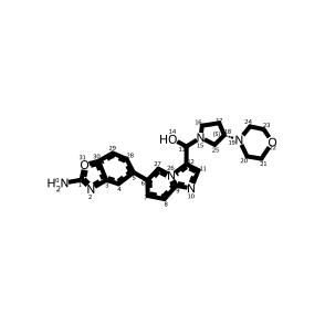 Nc1nc2cc(-c3ccc4ncc(C(O)N5CC[C@H](N6CCOCC6)C5)n4c3)ccc2o1